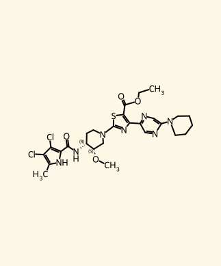 CCOC(=O)c1sc(N2CC[C@@H](NC(=O)c3[nH]c(C)c(Cl)c3Cl)[C@@H](OC)C2)nc1-c1cnc(N2CCCCC2)cn1